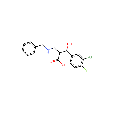 O=C(O)C(CNCc1ccccc1)C(O)c1ccc(F)c(Cl)c1